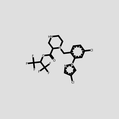 O=C(OC(C(F)(F)F)C(F)(F)F)C1CNCCN1Cc1ccc(Cl)cc1-n1cc(Cl)cn1